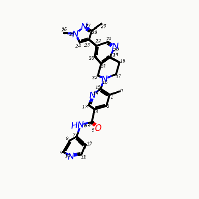 Cc1cc(C(=O)Nc2ccncc2)cnc1N1CCc2ncc(-c3cn(C)nc3C)cc2C1